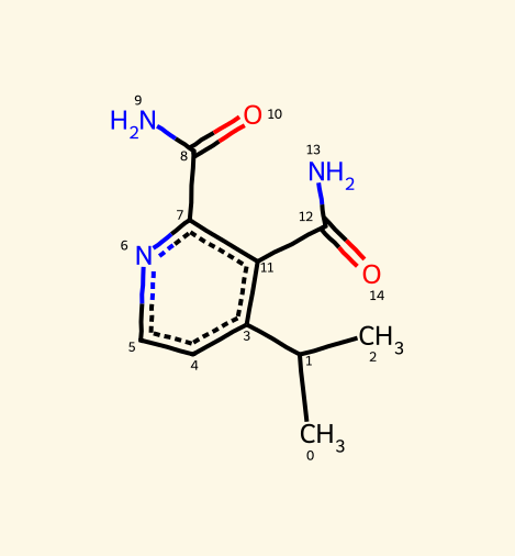 CC(C)c1ccnc(C(N)=O)c1C(N)=O